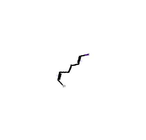 CC/C=C\CC/C=C/I